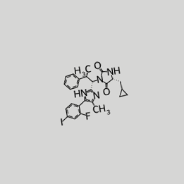 Cc1nc([C@H]([C@H](C)c2ccccc2)N2C(=O)N[C@H](CC3CC3)C2=O)[nH]c1-c1ccc(I)cc1F